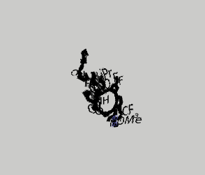 C=C/C(=C(\N=C/C)[C@H](C)OC)c1c2c3cc(ccc3n1CC(F)(F)F)-c1cc(cc(C(F)F)c1)C[C@H](NC(=O)[C@H](C(C)C)N(C)C(=O)[C@H]1CCN(C(=O)C#CC(C)(C)N3CCC3)C1)C(=O)N1CCC[C@H](N1)C(=O)OCC(C)(C)C2